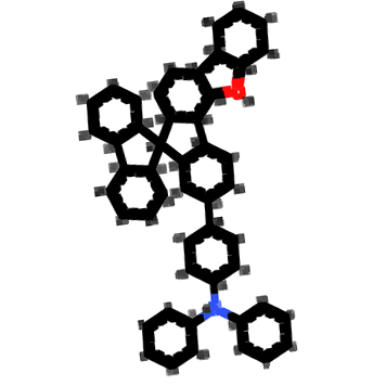 c1ccc(N(c2ccccc2)c2ccc(-c3ccc4c(c3)C3(c5ccccc5-c5ccccc53)c3ccc5c(oc6ccccc65)c3-4)cc2)cc1